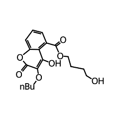 CCCCOc1c(O)c2c(C(=O)OCCCCO)cccc2oc1=O